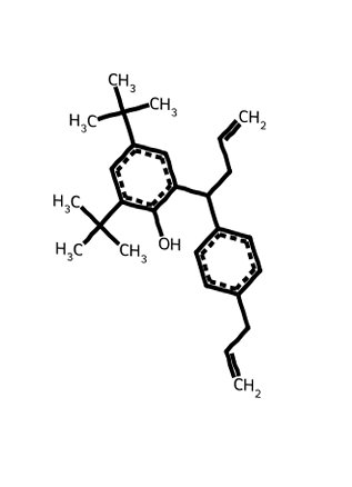 C=CCc1ccc(C(CC=C)c2cc(C(C)(C)C)cc(C(C)(C)C)c2O)cc1